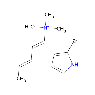 CC=CC=C[N+](C)(C)C.[Zr][c]1ccc[nH]1